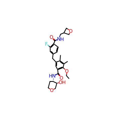 CCOc1c(C(=O)N[C@H]2CCOC[C@@H]2O)cc(Cc2ccc(C(=O)NCC3COC3)c(F)c2)c(C)c1C